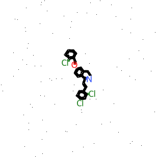 Clc1ccc(C=CC2=NCCc3cc(OCc4ccccc4Cl)ccc32)c(Cl)c1